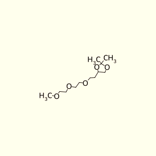 COCCOCCOCCC1COC(C)(C)O1